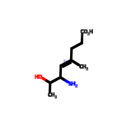 C/C(=C\C(N)C(C)O)CCC(=O)O